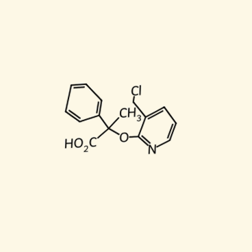 CC(Oc1ncccc1CCl)(C(=O)O)c1ccccc1